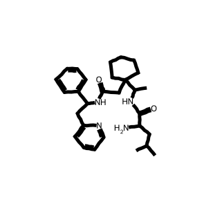 CC(C)CC(N)C(=O)NC(C)C1(CC(=O)NC(Cc2ccccn2)c2ccccc2)CCCCC1